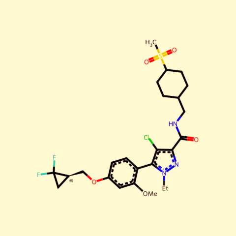 CCn1nc(C(=O)NCC2CCC(S(C)(=O)=O)CC2)c(Cl)c1-c1ccc(OC[C@H]2CC2(F)F)cc1OC